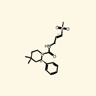 CC1(C)CCN(C(=O)NC/C=C/S(C)(=O)=O)[C@@H](c2ccccc2)C1